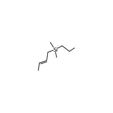 CC=CC[Si](C)(C)CCC